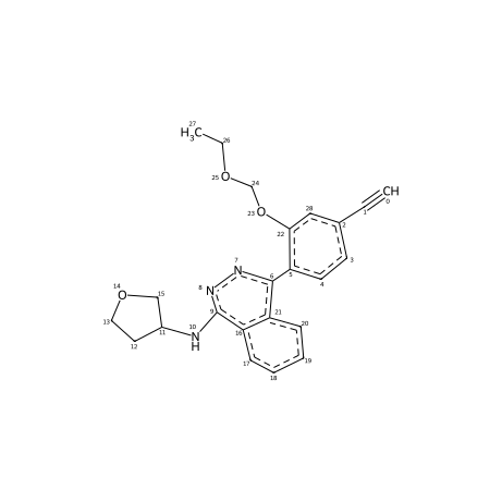 C#Cc1ccc(-c2nnc(NC3CCOC3)c3ccccc23)c(OCOCC)c1